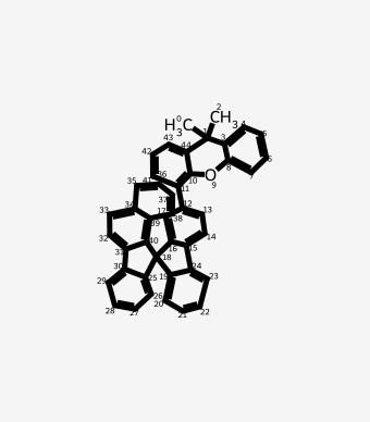 CC1(C)c2ccccc2Oc2c(-c3ccc4c(c3)C3(c5ccccc5-4)c4ccccc4-c4ccc5ccccc5c43)cccc21